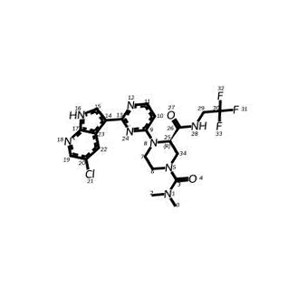 CN(C)C(=O)N1CCN(c2ccnc(-c3c[nH]c4ncc(Cl)cc34)n2)[C@@H](C(=O)NCC(F)(F)F)C1